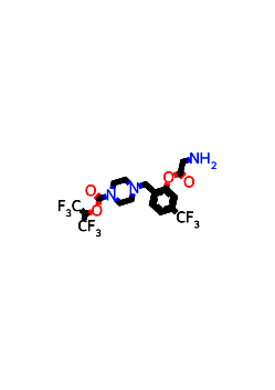 NCC(=O)Oc1cc(C(F)(F)F)ccc1CN1CCN(C(=O)OC(C(F)(F)F)C(F)(F)F)CC1